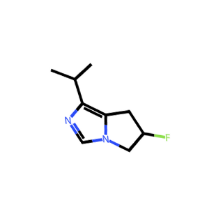 CC(C)c1ncn2c1CC(F)C2